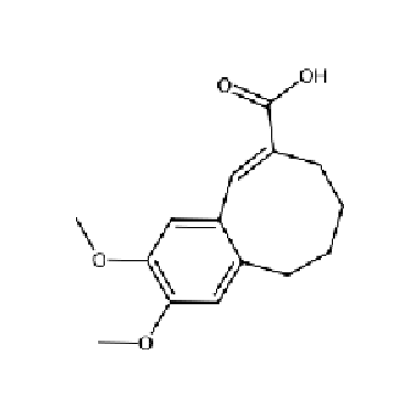 COc1cc2c(cc1OC)CCCCC(C(=O)O)=C2